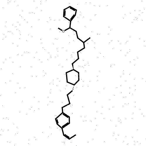 C/C=C\c1ccc(CCCC[C@H]2CC[C@H](CCCCC(C)CCC(OC)c3ccccc3)CC2)cc1